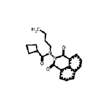 CCCCN(C(=O)C1CCC1)N1C(=O)c2cccc3cccc(c23)C1=O